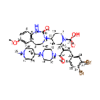 COc1ccc2c(c1)CCN(C1CCN(C(=O)O)[C@@H](C(Cc3ccc(Br)c(Br)c3)C(=O)N3CCN(C4CCN(C)CC4)CC3)C1)C(=O)N2